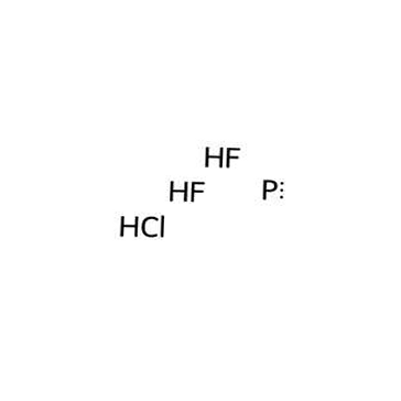 Cl.F.F.[P]